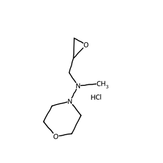 CN(CC1CO1)N1CCOCC1.Cl